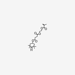 C=C(C)C(=O)OCCOC(=O)CCC(=O)OC1CC(C)(C)NC(C)(C)C1